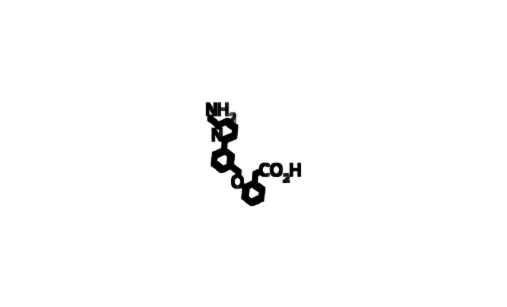 NCc1cccc(-c2cccc(COc3ccccc3CC(=O)O)c2)n1